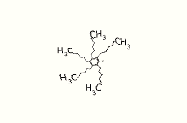 CCCCCCc1[c]c(CCCCCC)c(CCCCCC)c(CCCCCC)c1CCCCCC